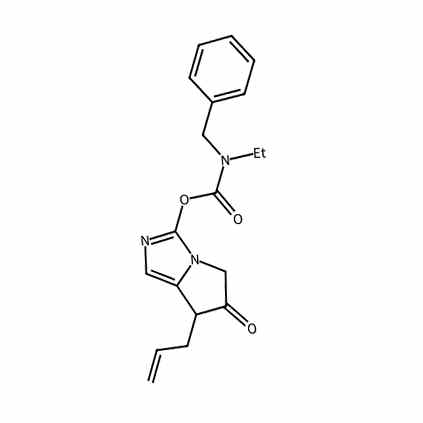 C=CCC1C(=O)Cn2c1cnc2OC(=O)N(CC)Cc1ccccc1